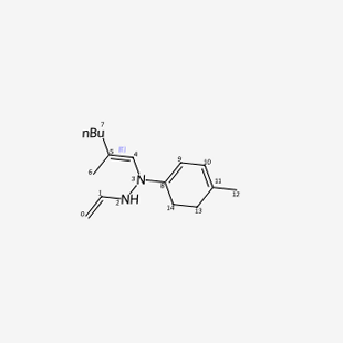 C=CNN(/C=C(\C)CCCC)C1=CC=C(C)CC1